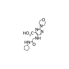 O=C(CNc1cnc(N2CCOCC2)nc1C(=O)O)NC1CCCC1